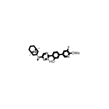 COc1ncc(-c2ccc(-c3ncc(N(C)[C@H]4C[C@]5(C)CCC[C@](C)(C4)N5)nn3)c(O)c2)cc1F